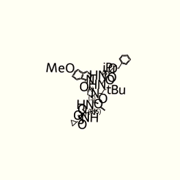 C=C[C@@H]1C[C@]1(NC(=O)[C@@H]1C[C@@H](Oc2nccc3cc(OC)ccc23)CN1C(=O)C(NC(=O)N[C@H](C(=O)OCc1ccccc1)C(C)C)C(C)(C)C)C(=O)NS(=O)(=O)C1CC1